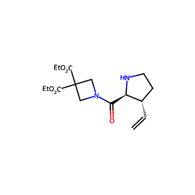 C=C[C@H]1CCN[C@@H]1C(=O)N1CC(C(=O)OCC)(C(=O)OCC)C1